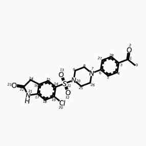 CC(=O)c1ccc(N2CCN(S(=O)(=O)c3cc4c(cc3Cl)NC(=O)C4)CC2)cc1